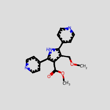 COCc1c(-c2ccncc2)[nH]c(-c2ccncc2)c1C(=O)OC